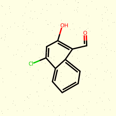 O=Cc1c(O)cc(Cl)c2ccccc12